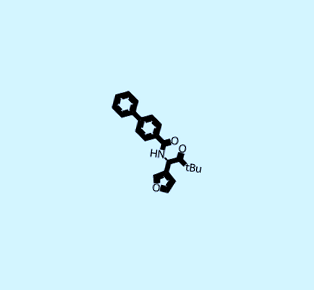 CC(C)(C)C(=O)[C@@H](NC(=O)c1ccc(-c2ccccc2)cc1)c1ccoc1